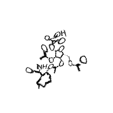 CC(=O)OC[C@H]1O[C@@H](OS(=O)(=O)O)[C@H](OC(C)=O)[C@@H]1OC(C)=O.NC(=O)c1cccnc1